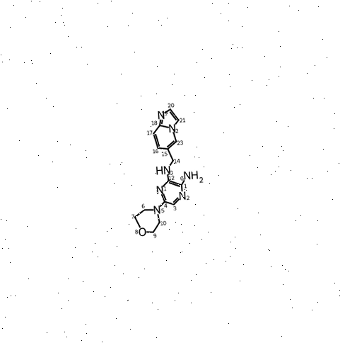 Nc1ncc(N2CCOCC2)nc1NCc1ccc2nccn2c1